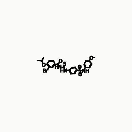 COc1ccc(NS(=O)(=O)c2ccc(NC(=S)NC(=O)c3ccc(OC(C)C)c(Br)c3)cc2)cc1